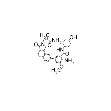 C=C(CN1Cc2c(ccc3ccc(-c4cc(OC)c(N)c(C(=O)NC5CCC(O)CC5)c4)cc23)C1=O)C(N)=O